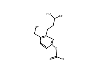 CCC(=O)Oc1ccc(CC(C)C)c(CCC(O)O)c1